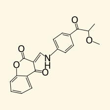 COC(C)C(=O)c1ccc(NC=C2C(=O)Oc3ccccc3C2=O)cc1